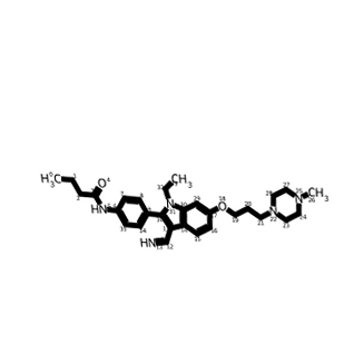 CCCC(=O)Nc1ccc(-c2c(C=N)c3ccc(OCCCN4CCN(C)CC4)cc3n2CC)cc1